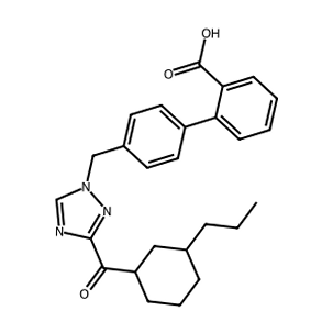 CCCC1CCCC(C(=O)c2ncn(Cc3ccc(-c4ccccc4C(=O)O)cc3)n2)C1